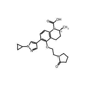 C[C@H]1CCc2c(ccc(-c3cnn(C4CC4)c3)c2OCCN2CCCC2=O)N1C(=O)O